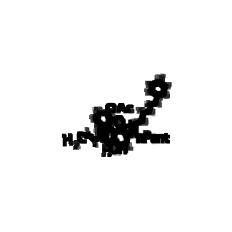 C=CCN1CC[C@]23c4c5ccc(OC(C)=O)c4O[C@H]2[C@H](N(CCCCC)CCCCCCc2ccccc2)CC[C@@]3(O)[C@H]1C5